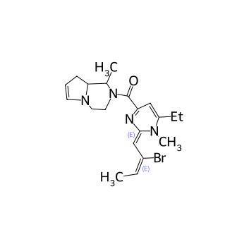 C/C=C(Br)\C=C1\N=C(C(=O)N2CCN3C=CCC3C2C)C=C(CC)N1C